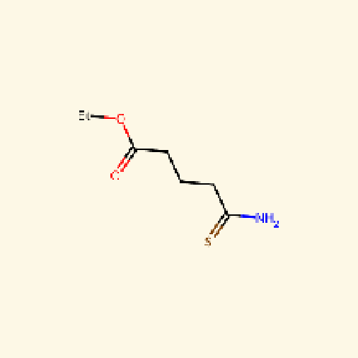 CCOC(=O)CCCC(N)=S